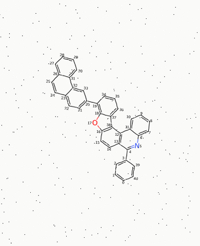 c1ccc(-c2nc3ccccc3c3c2ccc2oc4c(-c5ccc6ccc7ccccc7c6c5)cccc4c23)cc1